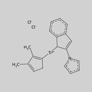 CC1=CC[C]([Ti+2][CH]2C(n3cccc3)=Cc3ccccc32)=C1C.[Cl-].[Cl-]